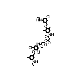 CCNc1cc(Cl)cc(COc2c(C)cc(NC(=O)CC(=O)OC(=O)CC(=O)Nc3cc(Cl)c(OCc4cc(C)cc(NCC)c4)c(Cl)c3)cc2C)c1